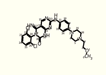 COCCN1CCN(c2ccc(Nc3ncc4c(=N)n(-c5c(Cl)cccc5Cl)c(=O)[nH]c4n3)cc2)CC1